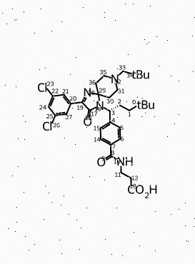 CC(C)(C)CC[C@H](c1ccc(C(=O)NCCC(=O)O)cc1)N1C(=O)C(c2cc(Cl)cc(Cl)c2)=NC12CCN(CC(C)(C)C)CC2